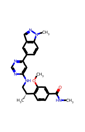 CNC(=O)c1ccc([C@H](C)CNc2cc(-c3ccc4c(cnn4C)c3)ncn2)c(OC)c1